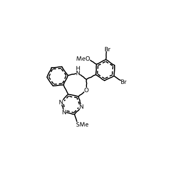 COc1c(Br)cc(Br)cc1C1Nc2ccccc2-c2nnc(SC)nc2O1